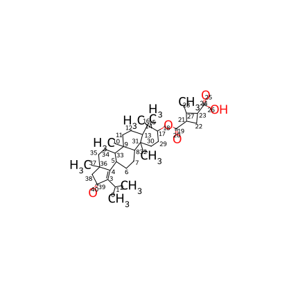 CC(C)C1=C2C3CCC4C(C)(CCC5C(C)(C)C(OC(=O)C6CC(C(=O)O)C6C)CCC54C)C3CCC2(C)CC1=O